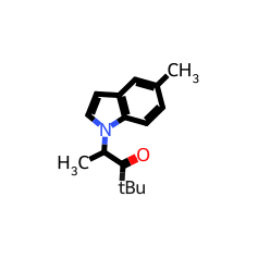 Cc1ccc2c(ccn2C(C)C(=O)C(C)(C)C)c1